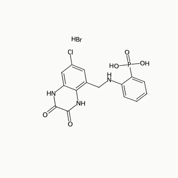 Br.O=c1[nH]c2cc(Cl)cc(CNc3ccccc3P(=O)(O)O)c2[nH]c1=O